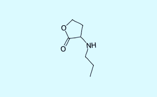 CCCNC1CCOC1=O